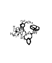 C[C@H](Cc1cccc(CC(=O)NC23CC4CC(CC(C4)C2)C3)c1)NC[C@@H](O[Si](C)(C)C(C)(C)C)c1ccc(O)c(CO)c1